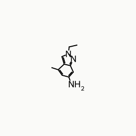 CCn1cc2c(C)cc(N)cc2n1